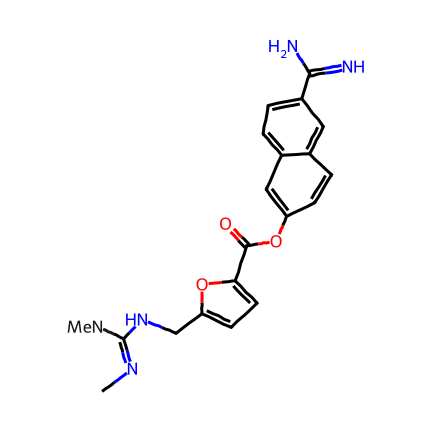 CN=C(NC)NCc1ccc(C(=O)Oc2ccc3cc(C(=N)N)ccc3c2)o1